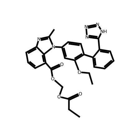 CCOc1cc(-n2c(C)nc3cccc(C(=O)OCOC(=O)CC)c32)ccc1-c1ccccc1-c1nnn[nH]1